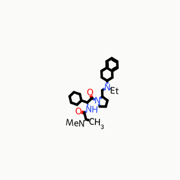 CCN(CC1CCCN1C(=O)[C@@H](NC(=O)[C@H](C)NC)C1CCCCC1)C1CCc2ccccc2C1